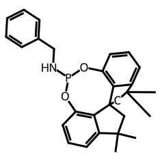 CC1(C)CC23CC(C)(C)c4cccc(c42)OP(NCc2ccccc2)Oc2cccc1c23